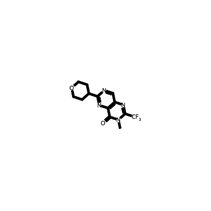 Cn1c(C(F)(F)F)nc2cnc(C3CCOCC3)nc2c1=O